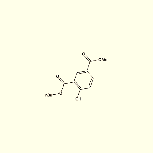 CCCCOC(=O)c1cc(C(=O)OC)ccc1O